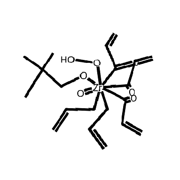 C=C[CH2][Zr](=[O])([CH2]C=C)([O]O)([O]CC(C)(C)C)([C](=O)C=C)([C](=O)C=C)[C](=O)C=C